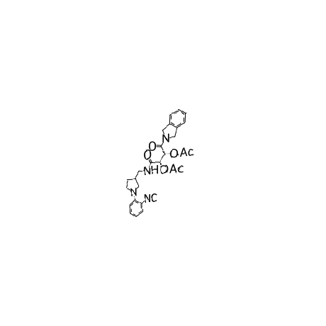 [C-]#[N+]c1ccccc1N1CCC(CNC(=O)[C@H](OC(C)=O)[C@@H](OC(C)=O)C(=O)N2Cc3ccccc3C2)C1